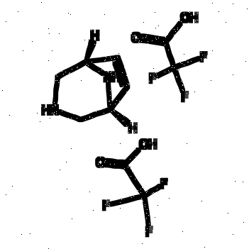 C1=C[C@H]2CNC[C@@H]1N2.O=C(O)C(F)(F)F.O=C(O)C(F)(F)F